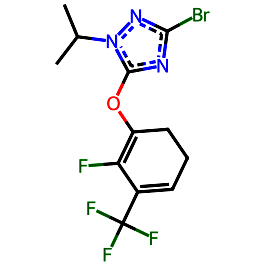 CC(C)n1nc(Br)nc1OC1=C(F)C(C(F)(F)F)=CCC1